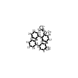 C[CH]=[Zr+2].[Cl-].[Cl-].c1ccc(-c2ccccc2)cc1.c1ccc(-c2ccccc2)cc1